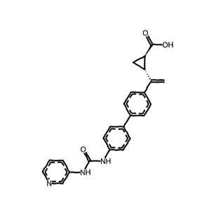 C=C(c1ccc(-c2ccc(NC(=O)Nc3cccnc3)cc2)cc1)[C@@H]1C[C@H]1C(=O)O